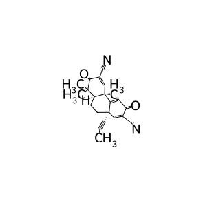 CC#C[C@@]12C=C(C#N)C(=O)C=C1[C@@]1(C)C=C(C#N)C(=O)C(C)(C)[C@@H]1CC2